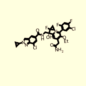 CCOc1c(CC(N)=O)cc([C@@](O)(CNC(=O)c2cc(Cl)c3nn(C4CC4)cc3c2)C2(F)CC2)nc1-c1cc(Cl)c(F)cc1F